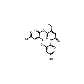 CC/C(=C/C(=O)OC(=O)/C(Cl)=C\C(=O)O)C(=O)OC(=O)/C(Cl)=C\C(=O)O